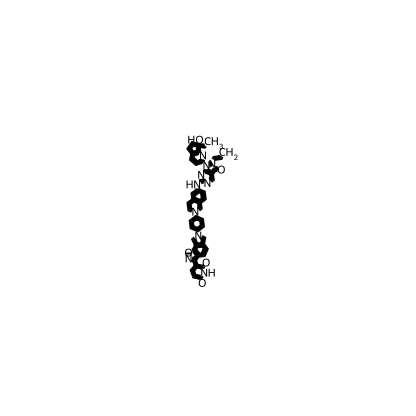 C=CCn1c(=O)c2cnc(Nc3ccc4c(c3)CCN([C@H]3CC[C@@H](N5Cc6ccc7c(C8CCC(=O)NC8=O)noc7c6C5)CC3)C4)nc2n1-c1ccc2c(n1)[C@@](O)(CC)CC2